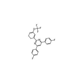 Fc1ccc(-c2cc(-c3ccc(F)cc3)nc(C3=CC(OC(F)(F)F)=CC[CH]3)n2)cc1